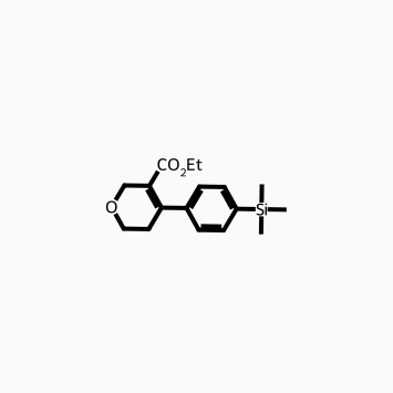 CCOC(=O)C1=C(c2ccc([Si](C)(C)C)cc2)CCOC1